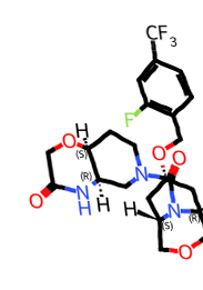 O=C1CO[C@H]2CCN(C(=O)N3[C@@H]4COC[C@H]3C[C@@H](OCc3ccc(C(F)(F)F)cc3F)C4)C[C@H]2N1